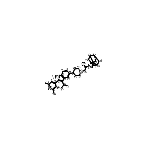 Cc1cc(-c2[nH]c3ccc(C4CCN(CC(=O)NC56CC7CC(CC(C7)C5)C6)CC4)cc3c2C(C)C)cc(C)n1